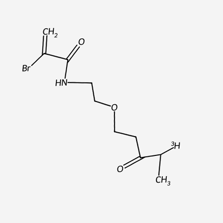 [3H]C(C)C(=O)CCOCCNC(=O)C(=C)Br